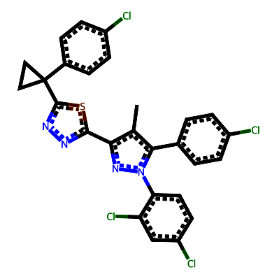 Cc1c(-c2nnc(C3(c4ccc(Cl)cc4)CC3)s2)nn(-c2ccc(Cl)cc2Cl)c1-c1ccc(Cl)cc1